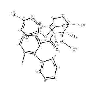 O=C(c1cccc(F)c1-c1ncccn1)N1[C@H](CO)[C@@H]2CC[C@H]1[C@H](Oc1ccc(C(F)(F)F)cn1)C2